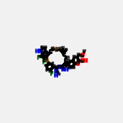 C=C1Sc2ccc(F)c(c2)/C(NC)=N/C(=N)[C@@](C)(c2cccc(CC(COC)C(=O)O)c2)CCCC(C)(C)CSCC/C1=c1\cc[nH]\c1=C(/F)CF